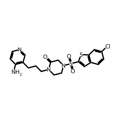 Nc1ccncc1CCCN1CCN(S(=O)(=O)c2cc3ccc(Cl)cc3s2)CC1=O